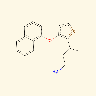 CC(CCN)c1sccc1Oc1cccc2ccccc12